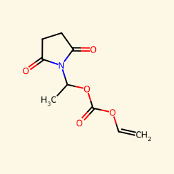 C=COC(=O)OC(C)N1C(=O)CCC1=O